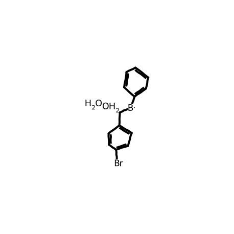 Brc1ccc(C[B]c2ccccc2)cc1.O.O